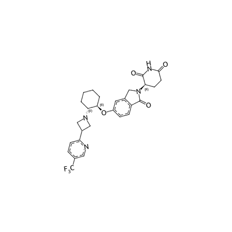 O=C1CC[C@@H](N2Cc3cc(O[C@@H]4CCCC[C@H]4N4CC(c5ccc(C(F)(F)F)cn5)C4)ccc3C2=O)C(=O)N1